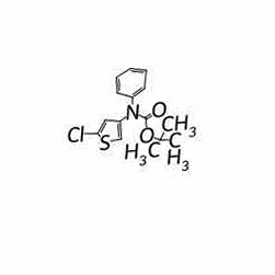 CC(C)(C)OC(=O)N(c1ccccc1)c1csc(Cl)c1